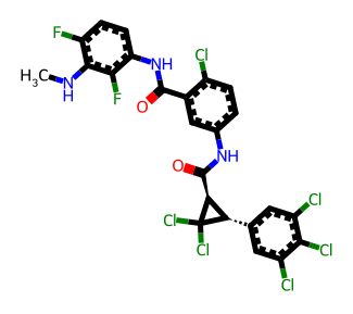 CNc1c(F)ccc(NC(=O)c2cc(NC(=O)[C@H]3[C@H](c4cc(Cl)c(Cl)c(Cl)c4)C3(Cl)Cl)ccc2Cl)c1F